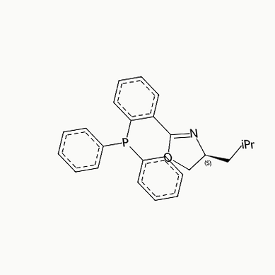 CC(C)C[C@H]1COC(c2ccccc2P(c2ccccc2)c2ccccc2)=N1